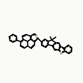 CC1(C)c2cc(-c3ccc4c5c3C=CC3C=CC(c6ccccc6)=C(C=C4)C53)ccc2-c2cc3oc4ccccc4c3cc21